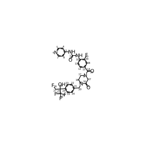 O=C(Nc1ccncc1)Nc1ccc(C(=O)N2CCN(Cc3ccc(C(O)(CF)C(F)(F)F)cc3)C(=O)C2)cc1F